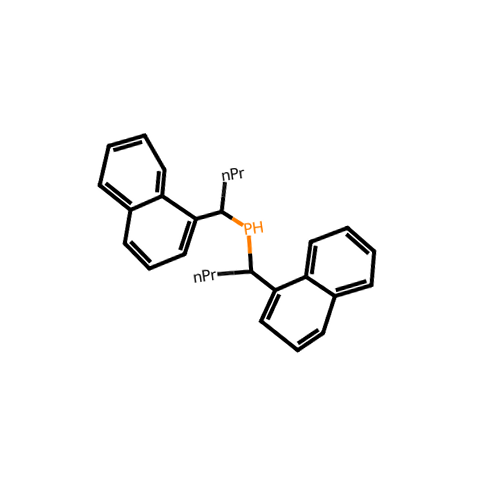 CCCC(PC(CCC)c1cccc2ccccc12)c1cccc2ccccc12